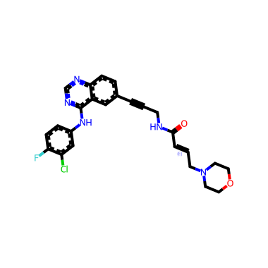 O=C(/C=C/CN1CCOCC1)NCC#Cc1ccc2ncnc(Nc3ccc(F)c(Cl)c3)c2c1